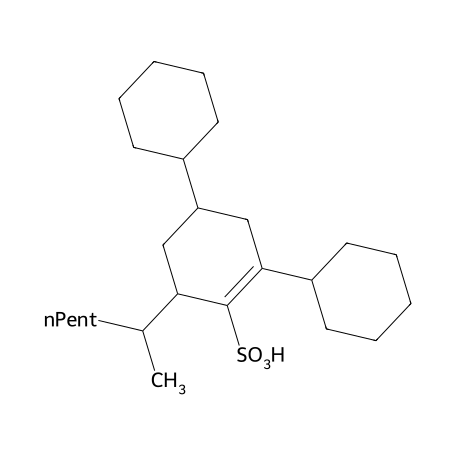 CCCCCC(C)C1CC(C2CCCCC2)CC(C2CCCCC2)=C1S(=O)(=O)O